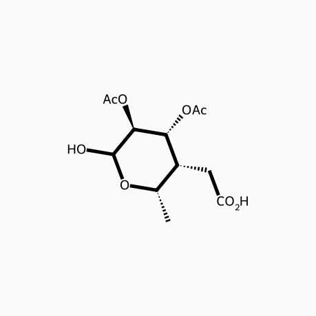 CC(=O)O[C@@H]1[C@H](CC(=O)O)[C@H](C)OC(O)[C@H]1OC(C)=O